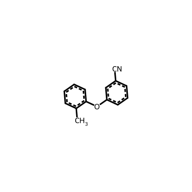 Cc1ccccc1Oc1cccc(C#N)c1